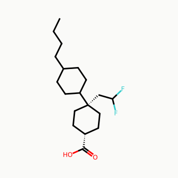 CCCCC1CCC([C@]2(CC(F)F)CC[C@@H](C(=O)O)CC2)CC1